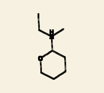 C[SiH](CI)C1CCCCO1